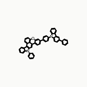 c1ccc(-c2ccc3c(c2)c2ccccc2n3-c2ccc(-c3ccc4c(c3)Oc3cccc5c3c-4cc3c5c4ccccc4n3-c3ccccc3)cc2)cc1